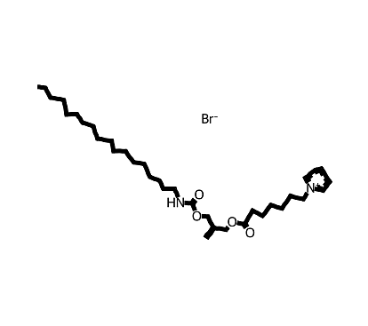 C=C(COC(=O)CCCCCC[n+]1ccccc1)COC(=O)NCCCCCCCCCCCCCCCCCC.[Br-]